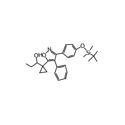 CCC(O)C1(c2onc(-c3ccc(O[Si](C)(C)C(C)(C)C)cc3)c2-c2ccccc2)CC1